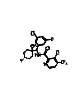 O=C(NC(c1cc(F)cc(Cl)c1)[C@]1(O)CC[C@H](F)CC1)c1nccc(C(F)(F)F)c1Cl